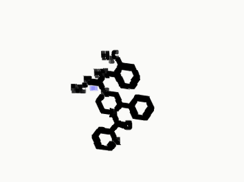 Cc1ccccc1N/C(=N/C#N)N1CCN(C(=O)c2ccccn2)C(c2ccccc2)C1